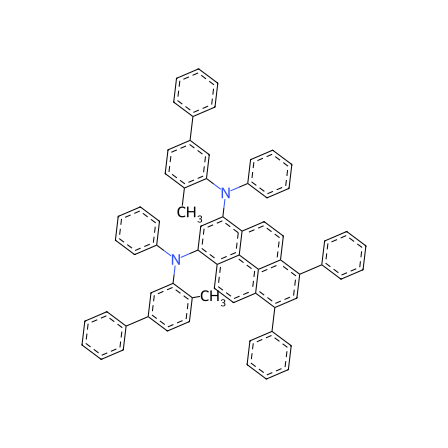 Cc1ccc(-c2ccccc2)cc1N(c1ccccc1)c1cc(N(c2ccccc2)c2cc(-c3ccccc3)ccc2C)c2ccc3c(-c4ccccc4)cc(-c4ccccc4)c4ccc1c2c43